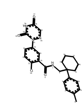 Cc1ccc(C2(CNC(=O)c3cc(-n4ncc(=O)[nH]c4=O)ccc3Cl)CCCCC2)cc1